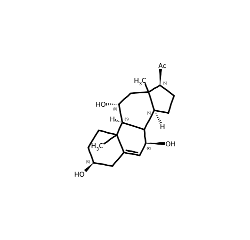 CC(=O)[C@H]1CC[C@H]2C3[C@H]([C@H](O)CC12C)C1(C)CC[C@H](O)CC1=C[C@@H]3O